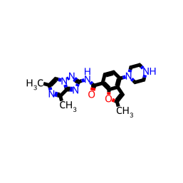 Cc1cn2nc(NC(=O)c3ccc(N4CCNCC4)c4cc(C)oc34)nc2c(C)n1